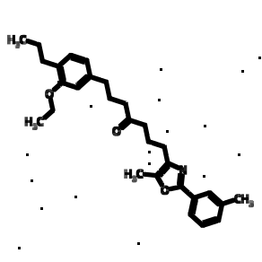 CCCc1ccc(CCCC(=O)CCCc2nc(-c3cccc(C)c3)oc2C)cc1OCC